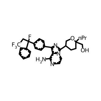 CCCC1(CO)CCC(c2nc(-c3ccc(C(F)(CC(F)(F)F)c4ccccc4)cc3)c3c(N)nccn23)CO1